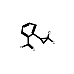 O=C(O)c1ccccc1C1CC1(Cl)Cl